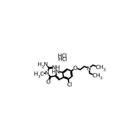 CCN(CC)CCOc1cc(Cl)c2cc(C(=O)N(C)C(=N)N)[nH]c2c1.Cl.Cl